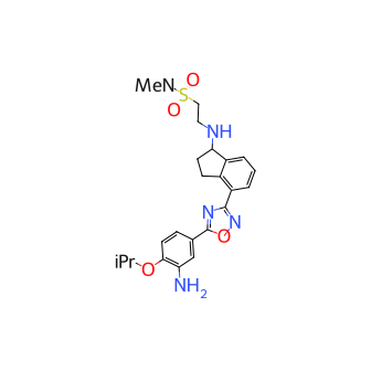 CNS(=O)(=O)CCNC1CCc2c(-c3noc(-c4ccc(OC(C)C)c(N)c4)n3)cccc21